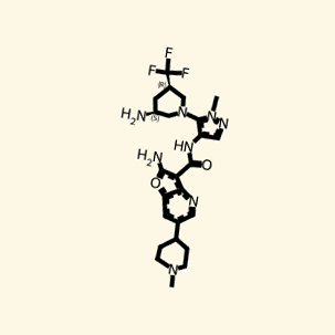 CN1CCC(c2cnc3c(C(=O)Nc4cnn(C)c4N4C[C@@H](N)C[C@@H](C(F)(F)F)C4)c(N)oc3c2)CC1